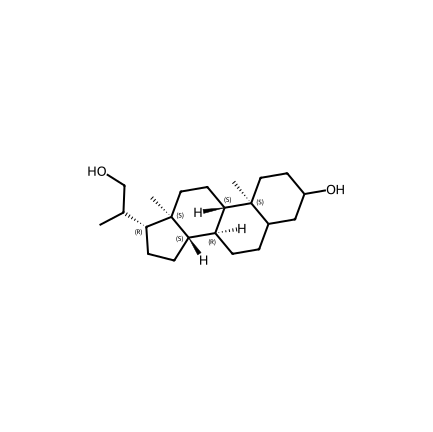 CC(CO)[C@H]1CC[C@H]2[C@@H]3CCC4CC(O)CC[C@]4(C)[C@H]3CC[C@]12C